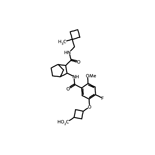 COc1cc(F)c(OC2CC(C(=O)O)C2)cc1C(=O)NC1C2CCC(C2)C1C(=O)NCC1(C)CCC1